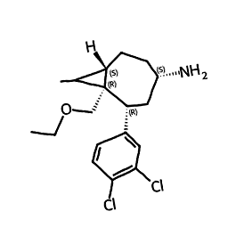 CCOC[C@]12C(C)[C@@H]1CC[C@H](N)C[C@@H]2c1ccc(Cl)c(Cl)c1